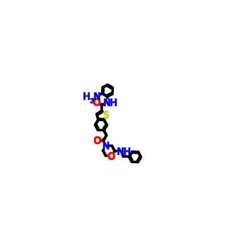 Nc1ccccc1NC(=O)c1cc2ccc(CC(=O)N3CCOC(NCc4ccccc4)C3)cc2s1